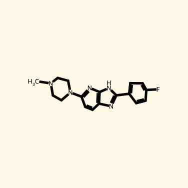 CN1CCN(c2ccc3nc(-c4ccc(F)cc4)[nH]c3n2)CC1